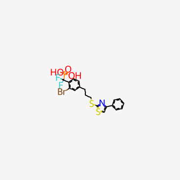 O=P(O)(O)C(F)(F)c1ccc(CCCSc2nc(-c3ccccc3)cs2)cc1Br